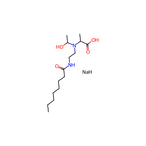 CCCCCCCC(=O)NCCN(C(C)O)C(C)C(=O)O.[NaH]